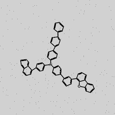 c1ccc(-c2ccc(-c3ccc(N(c4ccc(-c5cccc(-c6cccc7c6oc6ccccc67)c5)cc4)c4ccc(-c5cccc6ccccc56)cc4)cc3)cc2)cc1